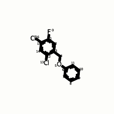 Fc1cc(COc2c[c]ccc2)c(Cl)cc1Cl